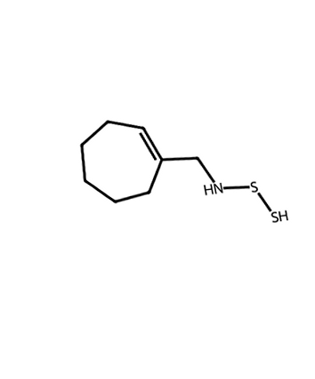 SSNCC1=CCCCCC1